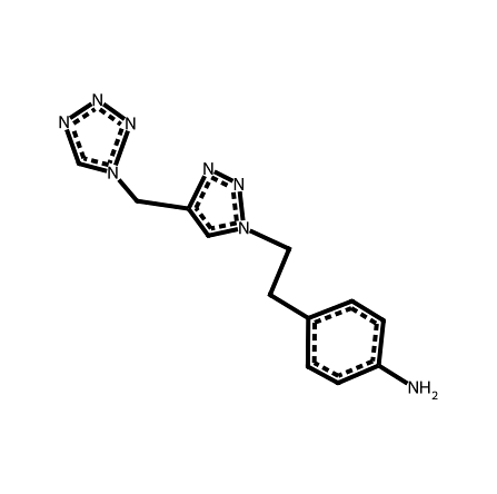 Nc1ccc(CCn2cc(Cn3cnnn3)nn2)cc1